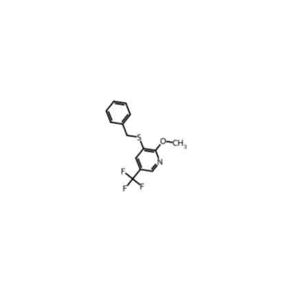 COc1ncc(C(F)(F)F)cc1SCc1ccccc1